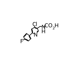 O=C(O)NCc1cnc(-c2ccc(F)cc2)cc1Cl